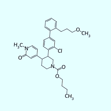 CCCCOC(=O)N1CCC(c2ccn(C)c(=O)c2)C(c2ccc(-c3ccccc3CCCOC)cc2Cl)C1